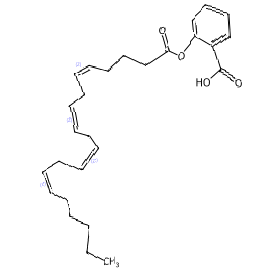 CCCCC/C=C\C/C=C\C/C=C\C/C=C\CCCC(=O)Oc1ccccc1C(=O)O